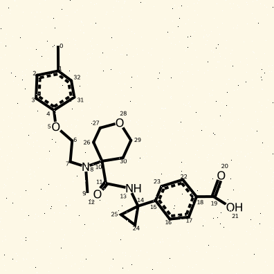 Cc1ccc(OCCN(C)C2(C(=O)NC3(c4ccc(C(=O)O)cc4)CC3)CCOCC2)cc1